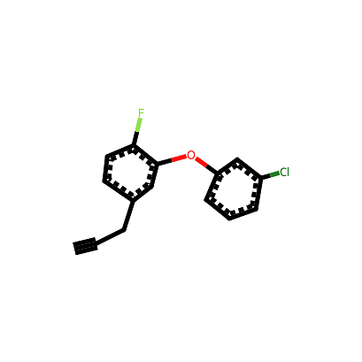 C#CCc1ccc(F)c(Oc2cccc(Cl)c2)c1